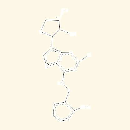 COc1ccccc1CNc1nc(Cl)nc2c1ncn2C1SC[C@H](O)C1O